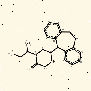 CCC(C)N1CC(C2c3ccccc3CCc3ccccc32)NCC1=O